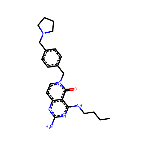 CCCCNc1nc(N)nc2ccn(Cc3ccc(CN4CCCC4)cc3)c(=O)c12